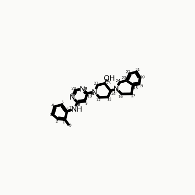 Cc1ccccc1Nc1cc(N2CCC(N3CCc4ccccc4C3)[C@@H](O)C2)ncn1